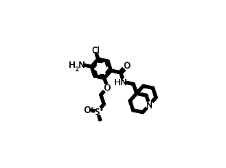 C[S+]([O-])CCOc1cc(N)c(Cl)cc1C(=O)NCC12CCCN(CCC1)C2